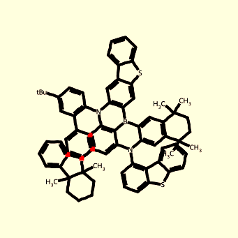 CC(C)(C)c1ccc(N2c3cc4c(cc3B3c5cc6c(cc5N(c5cccc7sc8ccccc8c57)c5cc(N7c8ccccc8C8(C)CCCCC78C)cc2c53)C(C)(C)CCC6(C)C)sc2ccccc24)c(-c2ccccc2)c1